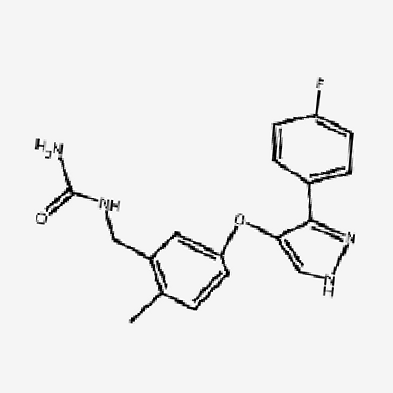 Cc1ccc(Oc2c[nH]nc2-c2ccc(F)cc2)cc1CNC(N)=O